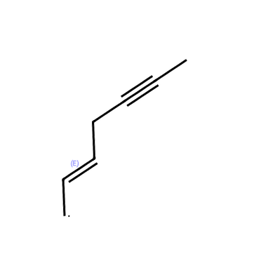 [CH2]/C=C/CC#CC